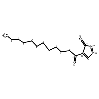 CCCCCCCCCCCC(=O)C1=CN=NC1=O